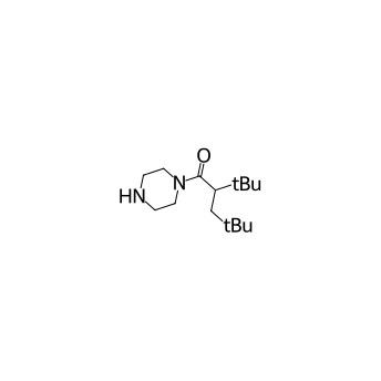 CC(C)(C)CC(C(=O)N1CCNCC1)C(C)(C)C